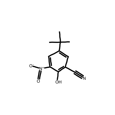 CC(C)(C)c1cc(C#N)c(O)c([N+](=O)[O-])c1